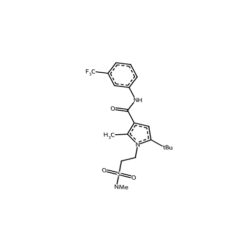 CNS(=O)(=O)CCn1c(C(C)(C)C)cc(C(=O)Nc2cccc(C(F)(F)F)c2)c1C